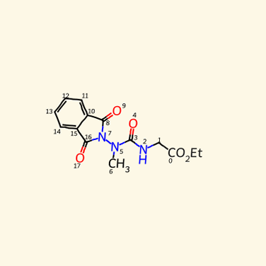 CCOC(=O)CNC(=O)N(C)N1C(=O)c2ccccc2C1=O